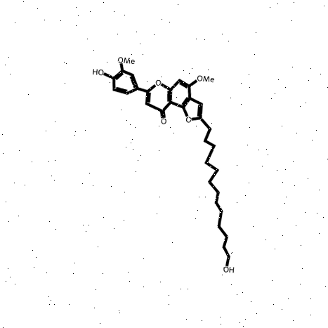 COc1cc(-c2cc(=O)c3c(cc(OC)c4cc(CCCCCCCCCCCCCO)oc43)o2)ccc1O